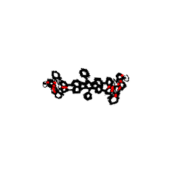 COc1cccc(N2c3ccc(-c4ccc5c6c(-c7ccccc7)c7c8ccc(-c9ccc%10c(c9)C9(C)CCCCC9(C)N%10c9cccc(OC)c9)c9c(-c%10ccc%11c(c%10)C%10(C)CCCCC%10(C)N%11c%10cccc(OC)c%10)ccc(c7c(-c7ccccc7)c6c6ccc(-c7ccc%10c(c7)C7(C)CCCCC7(C)N%10c7cccc(OC)c7)c4c56)c98)cc3C3(C)CCCCC23C)c1